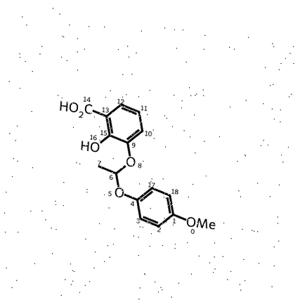 COc1ccc(OC(C)Oc2cccc(C(=O)O)c2O)cc1